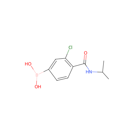 CC(C)NC(=O)c1ccc(B(O)O)cc1Cl